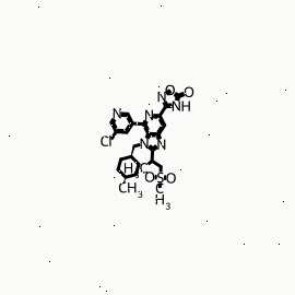 CC(CS(C)(=O)=O)c1nc2cc(-c3noc(=O)[nH]3)nc(-c3cncc(Cl)c3)c2n1C[C@H]1CC[C@H](C)CC1